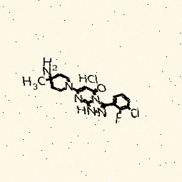 CC1(N)CCN(c2cc(=O)n3c(-c4cccc(Cl)c4F)n[nH]c3n2)CC1.Cl